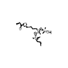 C=CC(=O)OCCCC[Si](C)(O[Si](C)(C)O)O[Si](C)(C)CCC